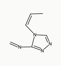 C=Nc1nncn1/C=C\C